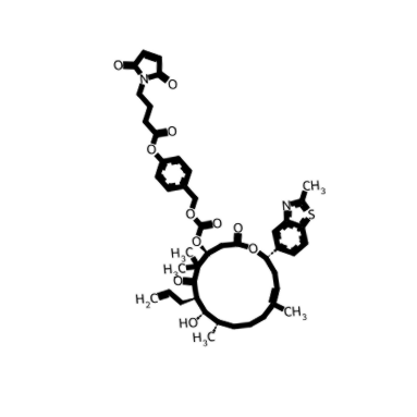 C=CC[C@H]1C(=O)C(C)(C)[C@@H](OC(=O)OCc2ccc(OC(=O)CCCN3C(=O)C=CC3=O)cc2)CC(=O)O[C@H](c2ccc3sc(C)nc3c2)CC=C(C)CCC[C@H](C)[C@@H]1O